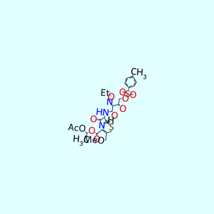 CCON=C(C(=O)COS(=O)(=O)c1ccc(C)cc1)C(=O)NC1C(=O)N2C(C(=O)OC(C)OC(C)=O)=C(COC)CS[C@@H]12